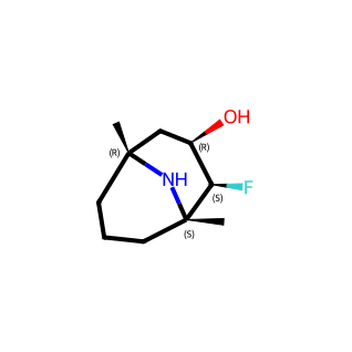 C[C@]12CCC[C@](C)(N1)[C@H](F)[C@H](O)C2